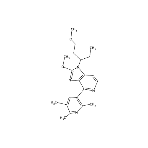 CCC(CCOC)n1c(OC)nc2c(-c3cc(C)c(C)nc3C)nccc21